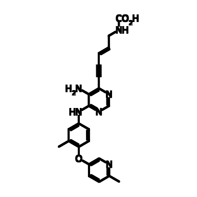 Cc1ccc(Oc2ccc(Nc3ncnc(C#CC=CCNC(=O)O)c3N)cc2C)cn1